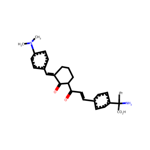 CC(C)C(N)(C(=O)O)c1ccc(C=CC(=O)C2CCCC(=Cc3ccc(N(C)C)cc3)C2=O)cc1